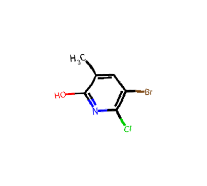 Cc1cc(Br)c(Cl)nc1O